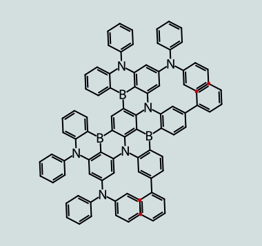 c1ccc(-c2ccc3c(c2)N2c4cc(N(c5ccccc5)c5ccccc5)cc5c4B(c4ccccc4N5c4ccccc4)c4cc5c6c(c42)B3c2ccc(-c3ccccc3)cc2N6c2cc(N(c3ccccc3)c3ccccc3)cc3c2B5c2ccccc2N3c2ccccc2)cc1